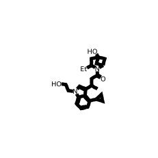 CCC1CC2(O)CC(C2)N1C(=O)CC(C)c1cn(CCO)c2cccc(C3CC3)c12